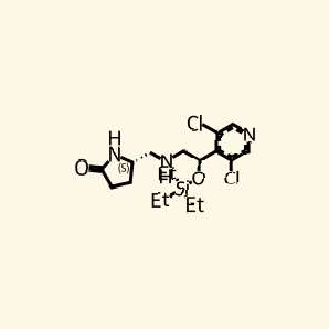 CC[Si](CC)(CC)OC(CNC[C@@H]1CCC(=O)N1)c1c(Cl)cncc1Cl